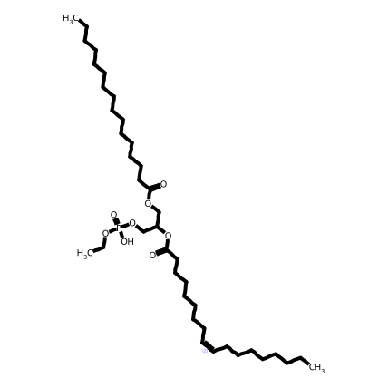 CCCCCCCC/C=C\CCCCCCCC(=O)OC(COC(=O)CCCCCCCCCCCCCCC)COP(=O)(O)OCC